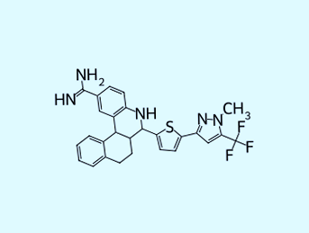 Cn1nc(-c2ccc(C3Nc4ccc(C(=N)N)cc4C4c5ccccc5CCC34)s2)cc1C(F)(F)F